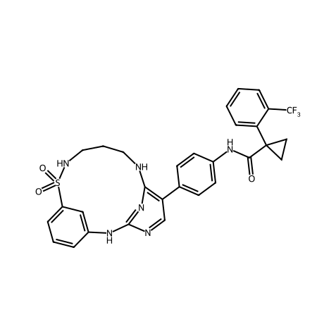 O=C(Nc1ccc(-c2cnc3nc2NCCCNS(=O)(=O)c2cccc(c2)N3)cc1)C1(c2ccccc2C(F)(F)F)CC1